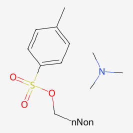 CCCCCCCCCCOS(=O)(=O)c1ccc(C)cc1.CN(C)C